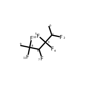 CC(F)C(F)(F)C(F)C(C)(F)F